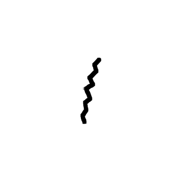 CCCCC[CH]CCCCC